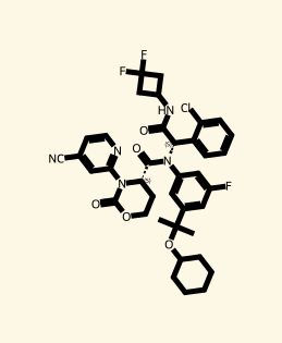 CC(C)(OC1CCCCC1)c1cc(F)cc(N(C(=O)[C@@H]2CCOC(=O)N2c2cc(C#N)ccn2)[C@H](C(=O)NC2CC(F)(F)C2)c2ccccc2Cl)c1